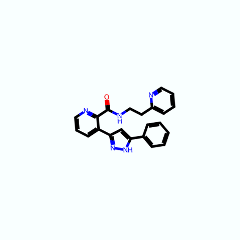 O=C(NCCc1ccccn1)c1ncccc1-c1cc(-c2ccccc2)[nH]n1